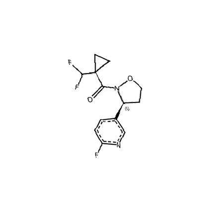 O=C(N1OCC[C@H]1c1ccc(F)nc1)C1(C(F)F)CC1